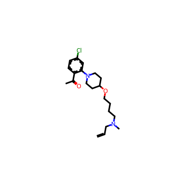 C=CCN(C)CCCCOC1CCN(c2cc(Cl)ccc2C(C)=O)CC1